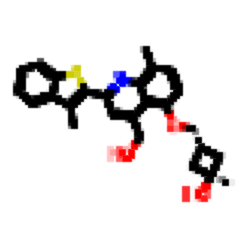 Cc1c(-c2cc(CO)c3c(OC[C@H]4C[C@](C)(O)C4)ccc(C)c3n2)sc2ccccc12